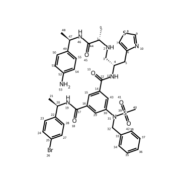 C[C@H](NC[C@H](Cc1cscn1)NC(=O)c1cc(C(=O)N[C@H](C)c2ccc(Br)cc2)cc(N(Cc2ccccc2)S(C)(=O)=O)c1)C(=O)N[C@H](C)c1ccc(N)cc1